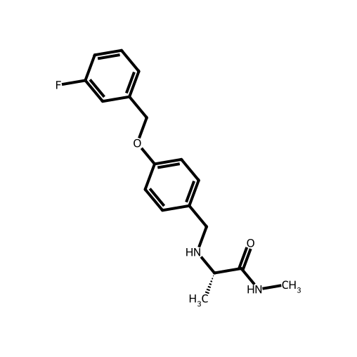 CNC(=O)[C@H](C)NCc1ccc(OCc2cccc(F)c2)cc1